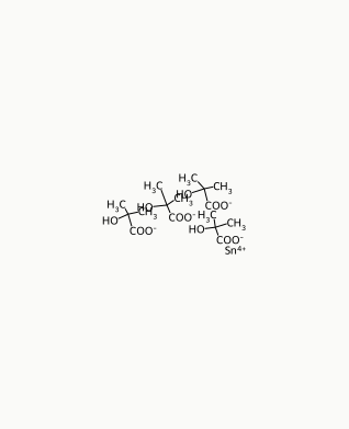 CC(C)(O)C(=O)[O-].CC(C)(O)C(=O)[O-].CC(C)(O)C(=O)[O-].CC(C)(O)C(=O)[O-].[Sn+4]